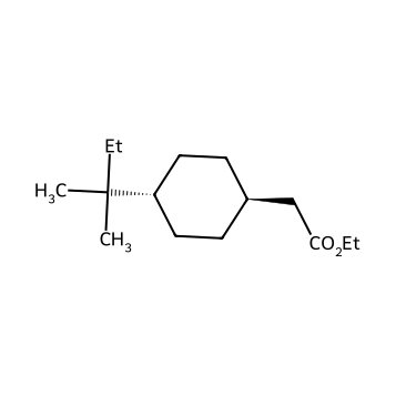 CCOC(=O)C[C@H]1CC[C@H](C(C)(C)CC)CC1